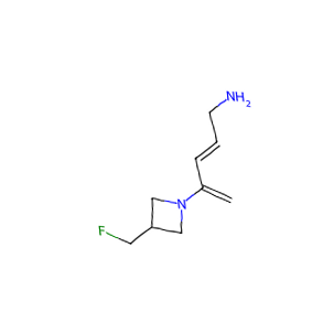 C=C(/C=C/CN)N1CC(CF)C1